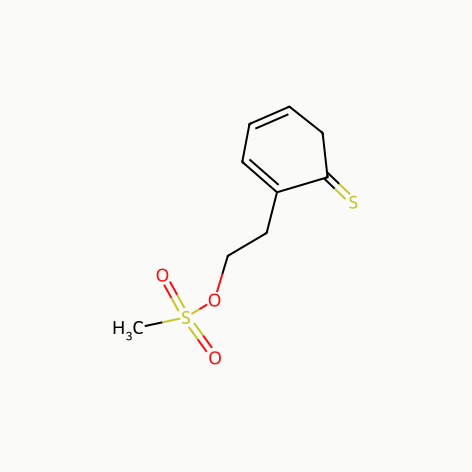 CS(=O)(=O)OCCC1=CC=CCC1=S